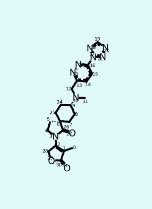 CC1=C(N2CC[C@]3(CC[C@@H](N(C)Cc4ccc(-n5ncnn5)nn4)CC3)C2=O)COC1=O